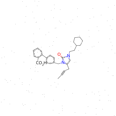 CC#CCc1cn(CCC2CCCCC2)c(=O)n1Cc1ccc(-c2ccccc2C(=O)O)cc1